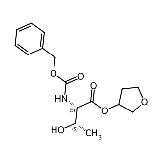 C[C@H](O)[C@H](NC(=O)OCc1ccccc1)C(=O)OC1CCOC1